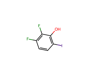 Oc1c(I)ccc(F)c1F